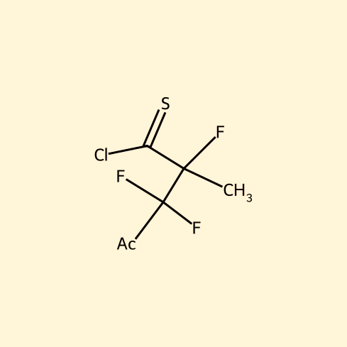 CC(=O)C(F)(F)C(C)(F)C(=S)Cl